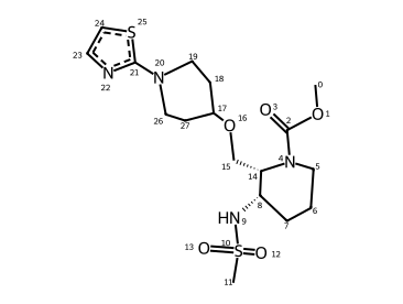 COC(=O)N1CCC[C@H](NS(C)(=O)=O)[C@@H]1COC1CCN(c2nccs2)CC1